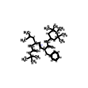 CC(C)C[C@@H](/C=C/[C@H](Cc1ccccc1)C(=O)NC1CC(C)(C)N(C)C(C)(C)C1)NC(=O)OC(C)(C)C